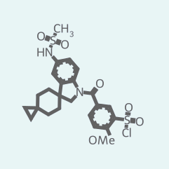 COc1ccc(C(=O)N2CC3(CCC4(CC4)CC3)c3cc(NS(C)(=O)=O)ccc32)cc1S(=O)(=O)Cl